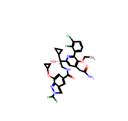 CCOc1c(CC(N)=O)cc([C@@](O)(CNC(=O)c2cc(OC3CC3)c3nn(C(F)F)cc3c2)C2CC2)nc1-c1cccc(Cl)c1F